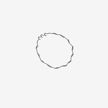 [C]1=C/C=C\C=C/C=C/C=C\C=C\C=C\C=C\C=C\C=C\C=C/C=C/CCCCC/1